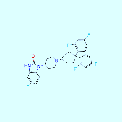 O=c1[nH]c2cc(F)ccc2n1C1CCN(C2C=CC(c3ccc(F)cc3F)(c3ccc(F)cc3F)CC2)CC1